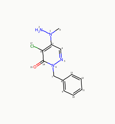 CN(N)c1cnn(Cc2ccccc2)c(=O)c1Cl